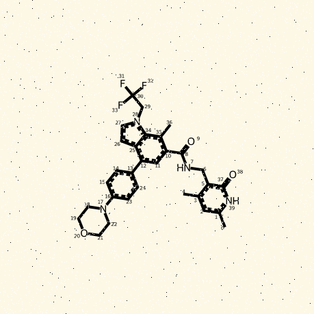 Cc1cc(C)c(CNC(=O)c2cc(-c3ccc(N4CCOCC4)cc3)c3ccn(CC(F)(F)F)c3c2C)c(=O)[nH]1